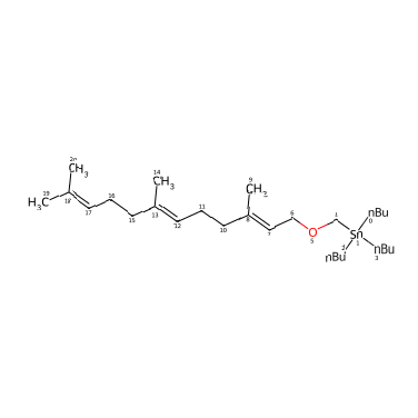 CCC[CH2][Sn]([CH2]CCC)([CH2]CCC)[CH2]OC/C=C(\C)CC/C=C(\C)CCC=C(C)C